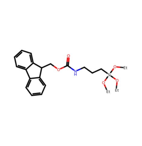 CCO[Si](CCCNC(=O)OCC1c2ccccc2-c2ccccc21)(OCC)OCC